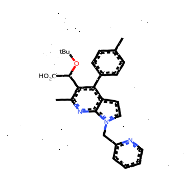 Cc1ccc(-c2c(C(OC(C)(C)C)C(=O)O)c(C)nc3c2ccn3Cc2ccccn2)cc1